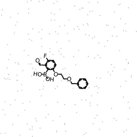 O=Cc1c(F)ccc(OCCOCc2ccccc2)c1B(O)O